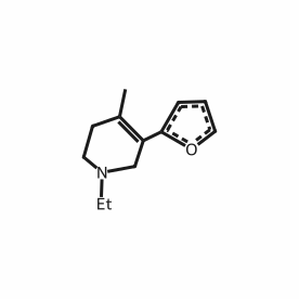 CCN1CCC(C)=C(c2ccco2)C1